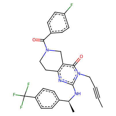 CC#CCn1c(N[C@@H](C)c2ccc(C(F)(F)F)cc2)nc2c(c1=O)CN(C(=O)c1ccc(F)cc1)CC2